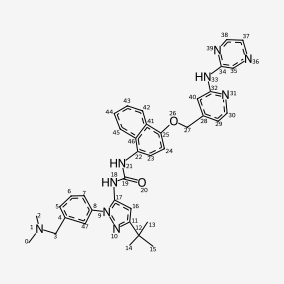 CN(C)Cc1cccc(-n2nc(C(C)(C)C)cc2NC(=O)Nc2ccc(OCc3ccnc(Nc4cnccn4)c3)c3ccccc23)c1